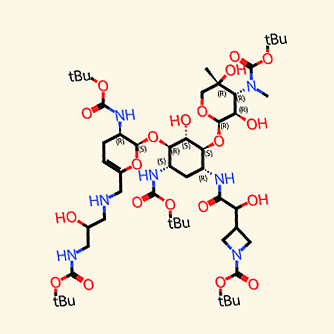 CN(C(=O)OC(C)(C)C)[C@@H]1[C@@H](O)[C@@H](O[C@@H]2[C@@H](O)[C@H](O[C@H]3OC(CNCC(O)CNC(=O)OC(C)(C)C)=CC[C@H]3NC(=O)OC(C)(C)C)[C@@H](NC(=O)OC(C)(C)C)C[C@H]2NC(=O)C(O)C2CN(C(=O)OC(C)(C)C)C2)OC[C@]1(C)O